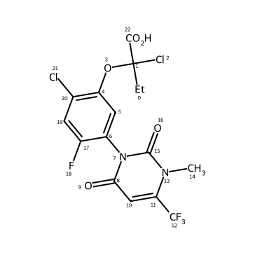 CCC(Cl)(Oc1cc(-n2c(=O)cc(C(F)(F)F)n(C)c2=O)c(F)cc1Cl)C(=O)O